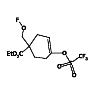 CCOC(=O)C1(COF)CC=C(OS(=O)(=O)C(F)(F)F)CC1